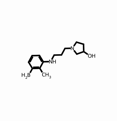 Bc1cccc(NCCCN2CCC(O)C2)c1C